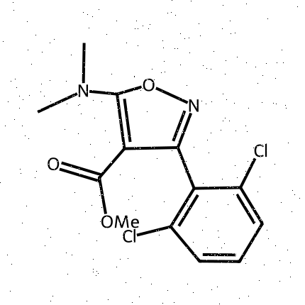 COC(=O)c1c(-c2c(Cl)cccc2Cl)noc1N(C)C